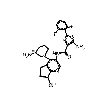 Nc1sc(-c2c(F)cccc2F)nc1C(=O)Nc1cnc2c(c1N1CCC[C@H](N)C1)CCC2O